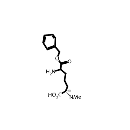 CN[C@@H](CCCC(N)C(=O)OCc1ccccc1)C(=O)O